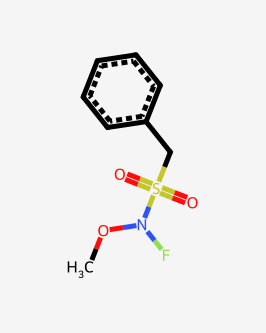 CON(F)S(=O)(=O)Cc1ccccc1